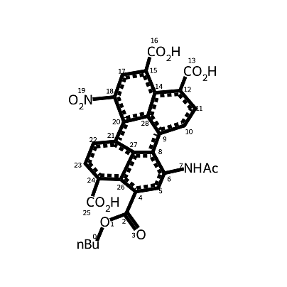 CCCCOC(=O)c1cc(NC(C)=O)c2c3ccc(C(=O)O)c4c(C(=O)O)cc([N+](=O)[O-])c(c5ccc(C(=O)O)c1c52)c43